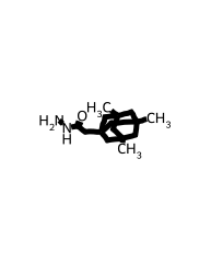 CC12CC3(C)CC(C)(C1)CC(CC(=O)NN)(C2)C3